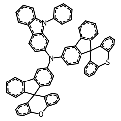 c1ccc(-n2c3ccccc3c3ccc(N(c4ccc5c(c4)-c4ccccc4C54c5ccccc5Oc5ccccc54)c4ccc5c(c4)-c4ccccc4C54c5ccccc5Sc5ccccc54)cc32)cc1